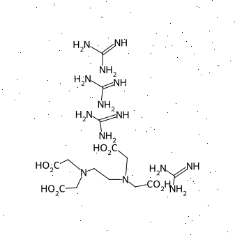 N=C(N)N.N=C(N)N.N=C(N)N.N=C(N)N.O=C(O)CN(CCN(CC(=O)O)CC(=O)O)CC(=O)O